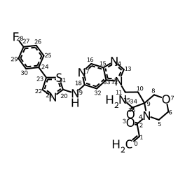 C=CC(=O)N1CCOCC1(CCn1cnc2cnc(Nc3ncc(-c4ccc(F)cc4)s3)cc21)C(N)=O